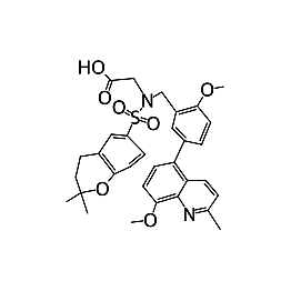 COc1ccc(-c2ccc(OC)c3nc(C)ccc23)cc1CN(CC(=O)O)S(=O)(=O)c1ccc2c(c1)CCC(C)(C)O2